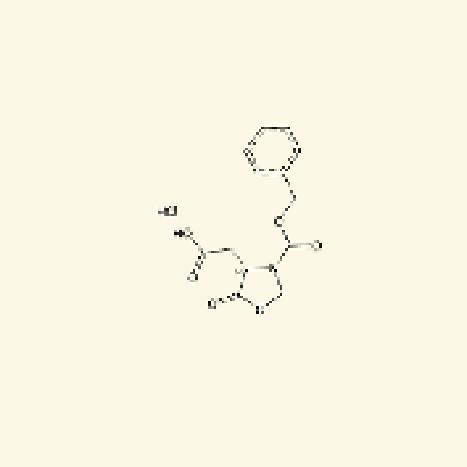 Cl.O=C(O)C[C@H]1C(=O)OCN1C(=O)OCc1ccccc1